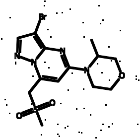 CC1COCCN1c1cc(CS(C)(=O)=O)n2ncc(Br)c2n1